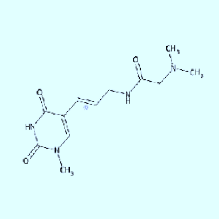 CN(C)CC(=O)NC/C=C/c1cn(C)c(=O)[nH]c1=O